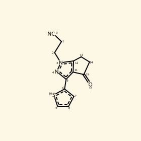 N#CCCn1nc(-c2cccs2)c2c1CCC2=O